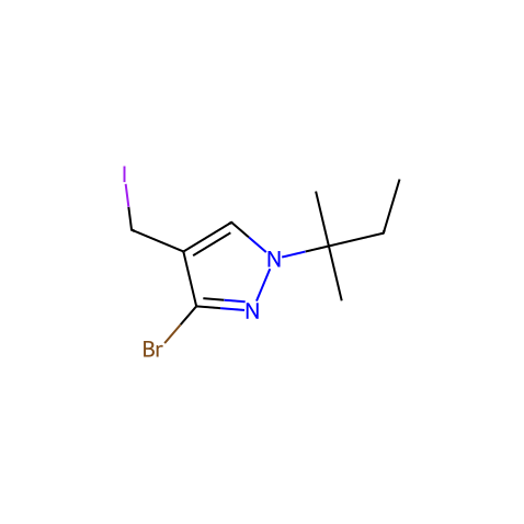 CCC(C)(C)n1cc(CI)c(Br)n1